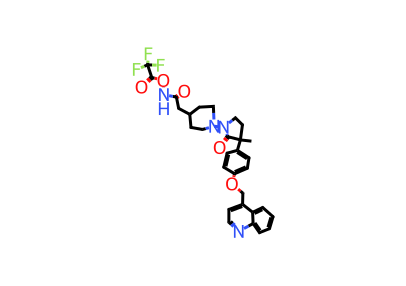 CC1(c2ccc(OCc3ccnc4ccccc34)cc2)CCN(N2CCC(CC(=O)NOC(=O)C(F)(F)F)CC2)C1=O